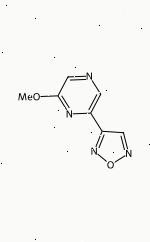 COc1cncc(-c2cnon2)n1